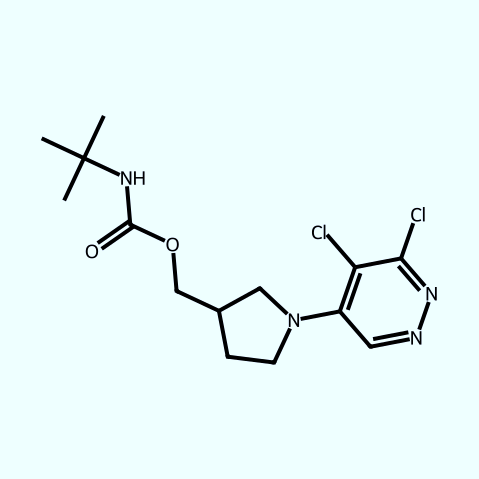 CC(C)(C)NC(=O)OCC1CCN(c2cnnc(Cl)c2Cl)C1